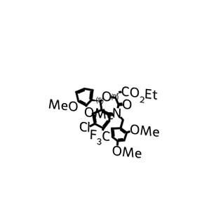 CCOC(=O)C[C@H]1O[C@H](c2cccc(OC)c2OC)c2cc(Cl)c(C(F)(F)F)cc2N(Cc2ccc(OC)cc2OC)C1=O